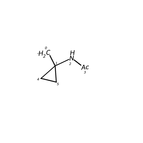 [CH2]C1(NC(C)=O)CC1